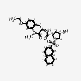 CCOc1ccc(C[C@H](NC(=O)[C@@H]2C[C@H](S)CN2S(=O)(=O)c2ccc3ccccc3c2)C(=O)OC)cc1